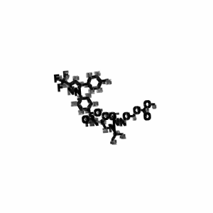 COC(=O)OCON=[N+]([O-])N(CC(=O)NS(=O)(=O)c1ccc(-n2nc(C(F)(F)F)cc2-c2ccc(C)cc2)cc1)C(C)C